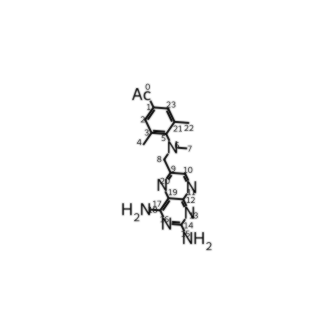 CC(=O)c1cc(C)c(N(C)Cc2cnc3nc(N)nc(N)c3n2)c(C)c1